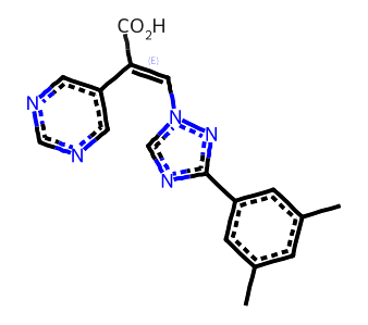 Cc1cc(C)cc(-c2ncn(/C=C(/C(=O)O)c3cncnc3)n2)c1